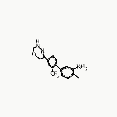 Cc1ccc(-c2ccc(C3=NNCOC3)cc2C(F)(F)F)cc1N